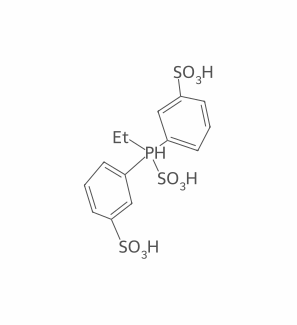 CC[PH](c1cccc(S(=O)(=O)O)c1)(c1cccc(S(=O)(=O)O)c1)S(=O)(=O)O